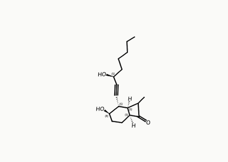 CCCCC[C@H](O)C#C[C@@H]1[C@H]2C(C)C(=O)[C@H]2CC[C@H]1O